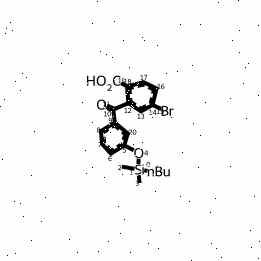 CCCC[Si](C)(C)Oc1cccc(C(=O)c2cc(Br)ccc2C(=O)O)c1